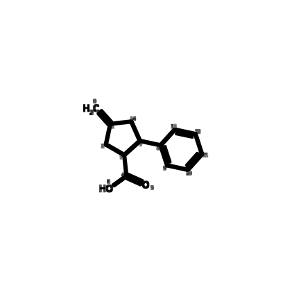 C=C1CC(C(=O)O)C(c2ccccc2)C1